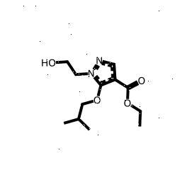 CCOC(=O)c1cnn(CCO)c1OCC(C)C